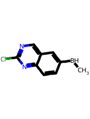 CBc1ccc2nc(Cl)ncc2c1